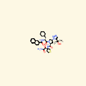 CC(C)(O)c1cnnn1[C@H]1C[C@@H](C(=O)NC2(C(=O)C(N)=O)CCSC2)N(C(=O)[C@@H](CC2CCCCC2)NC(=O)c2ccc3ccccc3c2)C1